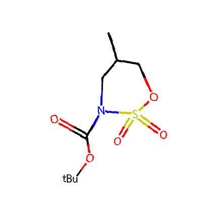 CC1COS(=O)(=O)N(C(=O)OC(C)(C)C)C1